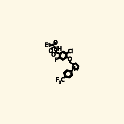 CCS(=O)(=O)NC(=O)c1cc(Cl)c(OC[C@H]2CCCN2c2ccc(C(F)(F)F)cc2)cc1F